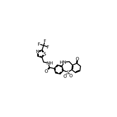 O=C1CC=CC2=C1CNc1cc(C(=O)NCc3cnc(C(F)(F)F)s3)ccc1S2(=O)=O